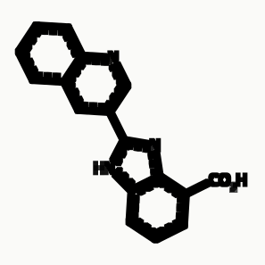 O=C(O)c1cccc2[nH]c(-c3cnc4ccccc4c3)nc12